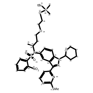 CSc1nccc(-c2nn(C3CCCCO3)c3ccc(N([C@@H](C)CCOCCO[Si](C)(C)C(C)(C)C)S(=O)(=O)c4ccccc4[N+](=O)[O-])cc23)n1